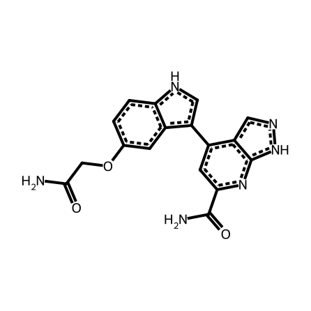 NC(=O)COc1ccc2[nH]cc(-c3cc(C(N)=O)nc4[nH]ncc34)c2c1